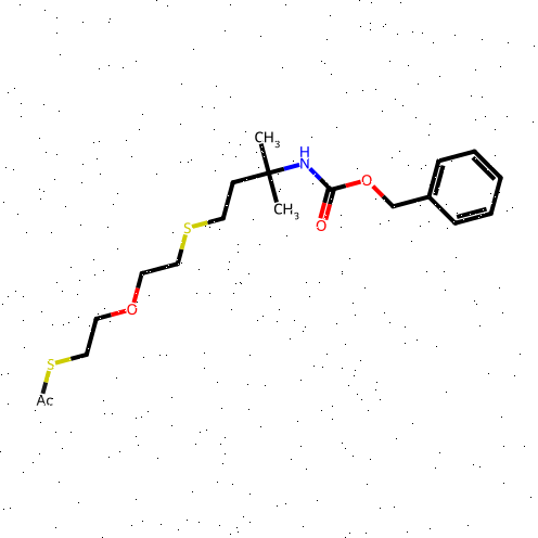 CC(=O)SCCOCCSCCC(C)(C)NC(=O)OCc1ccccc1